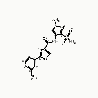 Cn1cc(NC(=O)c2coc(-c3ccnc(N)c3)n2)c(S(N)(=O)=O)n1